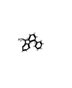 NC1c2ccccc2-c2c(-c3ccccc3)cccc21